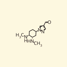 CN[C@H]1CCC(n2cc(C=O)cn2)C[C@@H]1NC